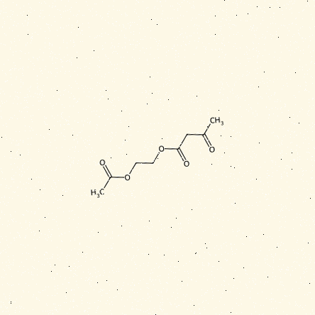 CC(=O)CC(=O)OCCOC(C)=O